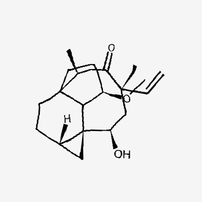 C=C[C@]1(C)C[C@@H](O)[C@]23C[C@@H]2CCC2(CC[C@@H](OC)C23)[C@@H](C)C1=O